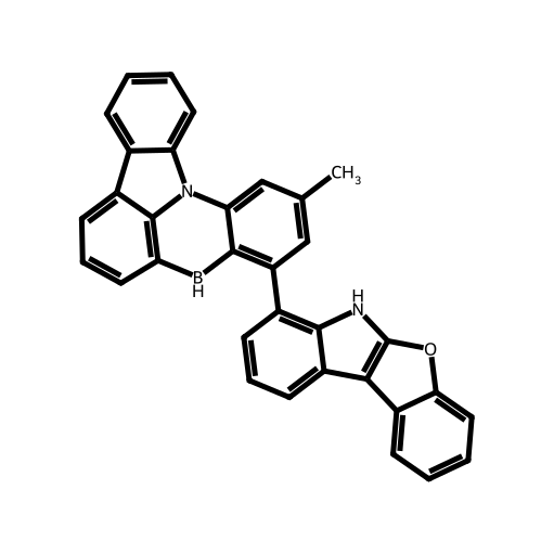 Cc1cc(-c2cccc3c2[nH]c2oc4ccccc4c23)c2c(c1)-n1c3ccccc3c3cccc(c31)B2